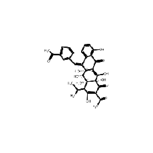 CC(=O)C1=C(O)C(C(C)C)[C@@]2(C)[C@H](O)[C@]3(C)C(=C(O)[C@@]2(O)C1=O)C(=O)c1c(O)cccc1/C3=C\c1cccc(C(C)=O)c1